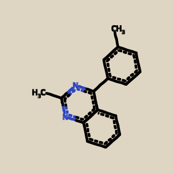 Cc1cccc(-c2nc(C)nc3ccccc23)c1